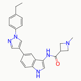 CCc1ccc(-n2cc(-c3ccc4[nH]cc(NC(=O)C5CN(C)C5)c4c3)cn2)cc1